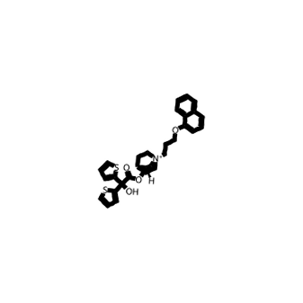 O=C(O[C@H]1C[N+]2(CCCOc3cccc4ccccc34)CCC1CC2)C(O)(c1cccs1)c1cccs1